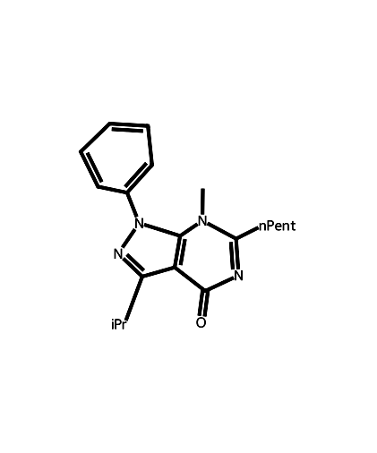 CCCCCc1nc(=O)c2c(C(C)C)nn(-c3ccccc3)c2n1C